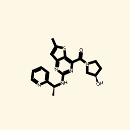 Cc1cc2nc(N[C@@H](C)c3ccccn3)nc(C(=O)N3CC[C@@H](O)C3)c2s1